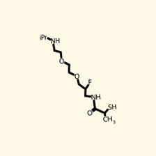 CC(C)NCCOCCOCC(F)CNC(=O)C(C)S